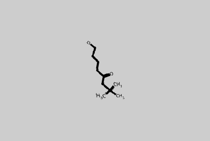 CC(C)(C)CC(=O)CCCC[O]